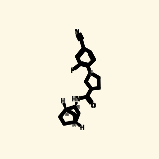 N#Cc1ccc(N2CCC(C(=O)N[C@@H]3C[C@@H]4CC[C@H]3C4)C2)c(F)c1